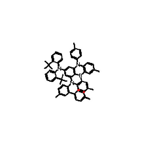 Cc1ccc(-c2cc(C)ccc2N2c3ccc(C)cc3B3c4cc(C)ccc4N(c4ccc(C)cc4)c4cc(N(c5ccccc5C(C)(C)C)c5ccccc5C(C)(C)C)cc2c43)cc1